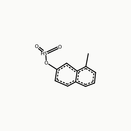 Cc1cccc2ccc(O[SH](=O)=O)cc12